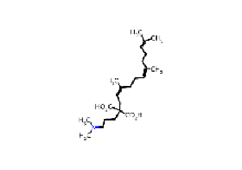 CC(C)=CCCC(C)=CCCC(C)=CCC(CCCN(C)C)(C(=O)O)C(=O)O